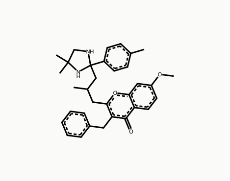 COc1ccc2c(=O)c(Cc3ccccc3)c(CC(C)CC3(c4ccc(C)cc4)NCC(C)(C)N3)oc2c1